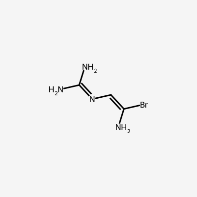 NC(N)=N/C=C(\N)Br